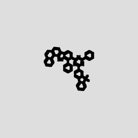 CC1(C)c2ccccc2-c2ccc(-c3nc(-c4ccccc4)nc(-c4ccc5c([se]c6c5ccc5ccc7ccccc7c56)c4-c4ccccc4)n3)cc21